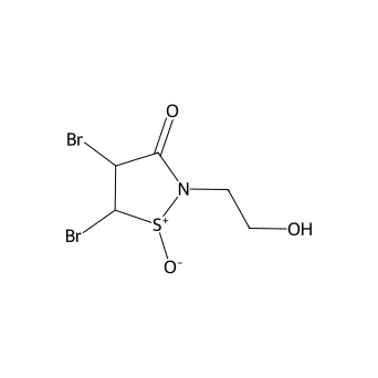 O=C1C(Br)C(Br)[S+]([O-])N1CCO